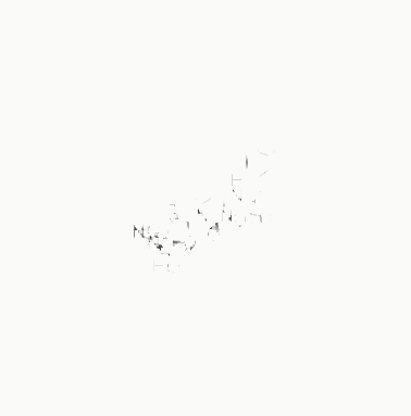 COC(=O)[C@H](Cc1ccccc1)Nc1ccn([C@@H]2O[C@@](CO)(N=[N+]=[N-])C(O)[C@@H]2F)c(=O)n1